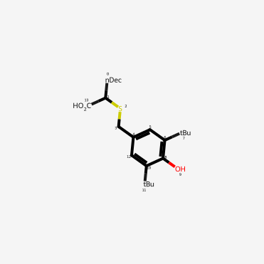 CCCCCCCCCCC(SCc1cc(C(C)(C)C)c(O)c(C(C)(C)C)c1)C(=O)O